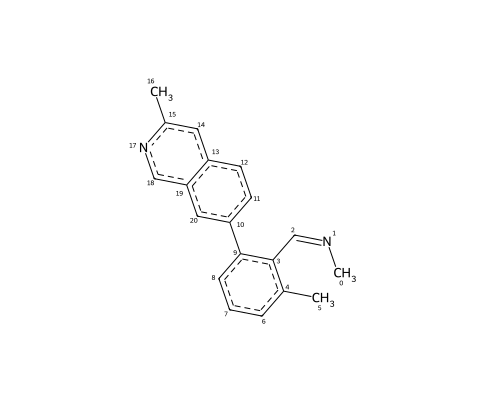 C/N=C\c1c(C)cccc1-c1ccc2cc(C)ncc2c1